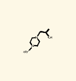 CCCN1CCN(CC(C)O)CC1